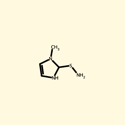 CN1C=CNC1SN